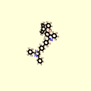 c1ccc(-c2cc(-c3ccc(-c4ccc(-c5nc6ccccc6c6c7c(ccc56)C5(c6ccccc6O7)c6ccccc6-c6ccccc65)cc4)cc3)nc(-c3ccccc3)n2)cc1